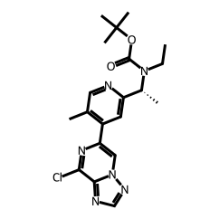 CCN(C(=O)OC(C)(C)C)[C@H](C)c1cc(-c2cn3ncnc3c(Cl)n2)c(C)cn1